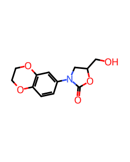 O=C1OC(CO)CN1c1ccc2c(c1)OCCO2